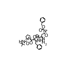 CN(C(=O)C[C@H](N)C(=O)N[C@@H](Cc1ccccc1)[C@H](O)C(=O)N1CCC[C@H]1C(=O)NC(C)(C)C)C(=O)OCc1ccccc1